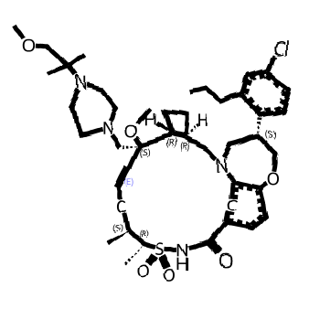 CCCc1cc(Cl)ccc1[C@@H]1COc2ccc3cc2N(C1)C[C@@H]1CC[C@H]1[C@](CN1CCN(C(C)(C)COC)CC1)(OC)/C=C/C[C@H](C)[C@@H](C)S(=O)(=O)NC3=O